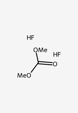 COC(=O)OC.F.F